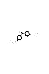 COc1ccc(C([O])c2ccc(OC)cc2)cc1